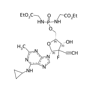 C#CC1(F)[C@@H](O)[C@@H](COP(=O)(NCC(=O)OCC)NCC(=O)OCC)O[C@H]1n1cnc2c(NC3CC3)nc(C)nc21